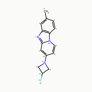 Cc1ccc2c(c1)nc1cc(N3CC([18F])C3)ccn12